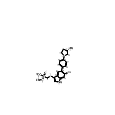 CCOP(C)(=O)CSc1c[nH]c2cc(F)c(-c3ccc(N4CC[C@H](O)C4)cc3)cc12